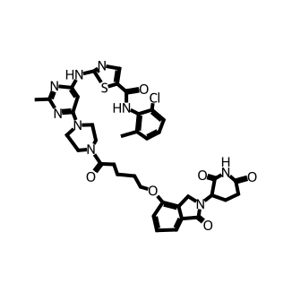 Cc1nc(Nc2ncc(C(=O)Nc3c(C)cccc3Cl)s2)cc(N2CCN(C(=O)CCCCOc3cccc4c3CN(C3CCC(=O)NC3=O)C4=O)CC2)n1